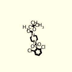 CC(C)(C)OC(=O)N1CCN(S(=O)(=O)c2c(Cl)cccc2Cl)CC1